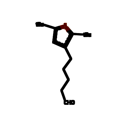 CC(C)(C)c1cc(CCCCC=O)c(C(C)(C)C)s1